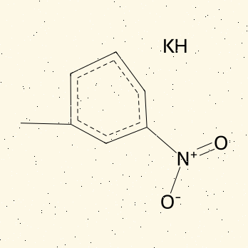 Cc1cccc([N+](=O)[O-])c1.[KH]